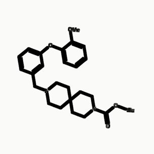 COc1ccccc1Oc1cccc(CN2CCC3(CC2)CCN(C(=O)OC(C)(C)C)CC3)c1